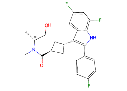 C[C@H](CO)N(C)C(=O)[C@H]1C[C@H](c2c(-c3ccc(F)cc3)[nH]c3c(F)cc(F)cc32)C1